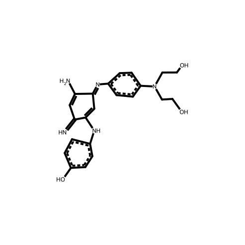 N=C1C=C(N)/C(=N/c2ccc(N(CCO)CCO)cc2)C=C1Nc1ccc(O)cc1